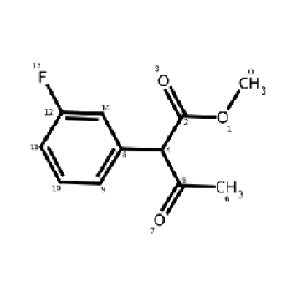 COC(=O)C(C(C)=O)c1cccc(F)c1